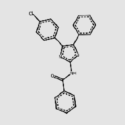 O=C(Nc1nc(-c2ccc(Cl)cc2)c(-c2ccccc2)s1)c1ccccc1